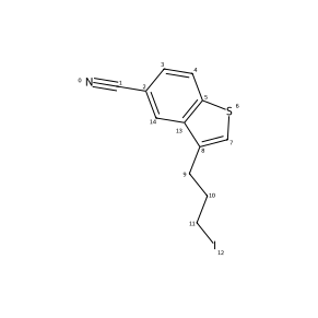 N#Cc1ccc2scc(CCCI)c2c1